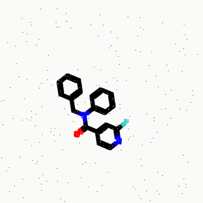 O=C(c1ccnc(F)c1)N(Cc1ccccc1)c1ccccc1